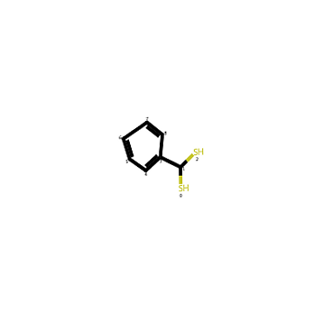 SC(S)c1ccccc1